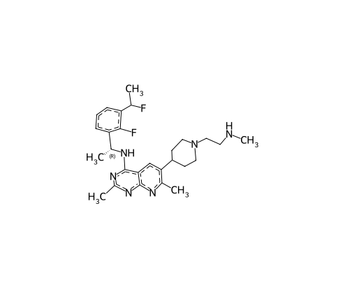 CNCCN1CCC(c2cc3c(N[C@H](C)c4cccc(C(C)F)c4F)nc(C)nc3nc2C)CC1